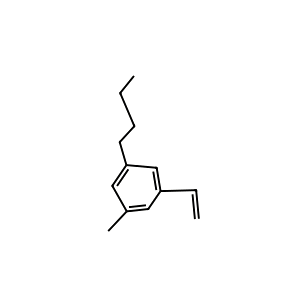 C=Cc1cc(C)cc(CCCC)c1